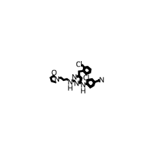 N#Cc1ccc(Nc2cc(Cc3c(Cl)cccc3Cl)nc(NCCCN3CCCC3=O)n2)cc1